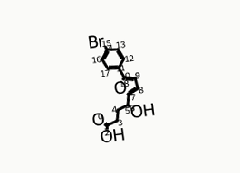 O=C(O)CCC(O)c1ccc(-c2ccc(Br)cc2)o1